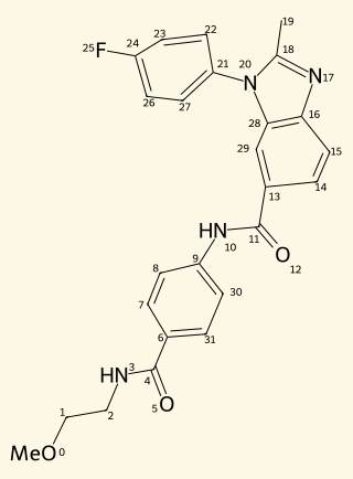 COCCNC(=O)c1ccc(NC(=O)c2ccc3nc(C)n(-c4ccc(F)cc4)c3c2)cc1